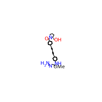 COC(C/N=C\N)Nc1ccc(C#CC#Cc2ccc(C(=O)N3CCC[C@H]3CO)cc2)cc1